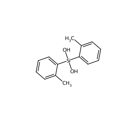 Cc1ccccc1[Si](O)(O)c1ccccc1C